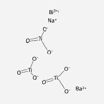 [Ba+2].[Bi+3].[Na+].[O]=[Ti]([O-])[O-].[O]=[Ti]([O-])[O-].[O]=[Ti]([O-])[O-]